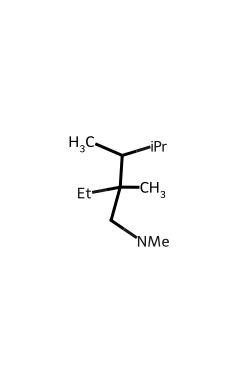 CCC(C)(CNC)C(C)C(C)C